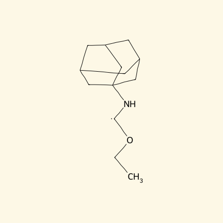 CCO[CH]NC12CC3CC(CC(C3)C1)C2